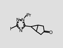 CC(C)n1nc(I)nc1C1C2CC(=O)CC21